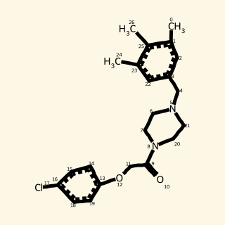 Cc1cc(CN2CCN(C(=O)COc3ccc(Cl)cc3)CC2)cc(C)c1C